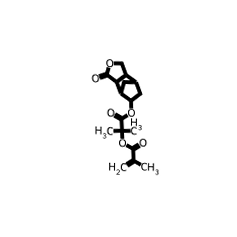 C=C(C)C(=O)OC(C)(C)C(=O)OC1CC2CC1C1C(=O)OCC21